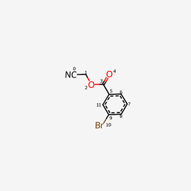 N#CCOC(=O)c1cccc(Br)c1